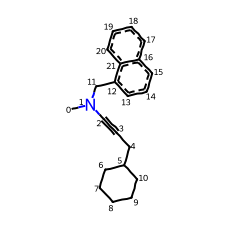 CN(C#CCC1CCCCC1)Cc1cccc2ccccc12